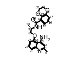 Cc1cc(N)c2c(OC[C@H](C)NC(=O)c3cccc4c3OCCO4)cccc2n1